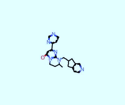 CC1CCn2c(nc(-c3ccncn3)cc2=O)N1CC1Cc2ccncc2C1